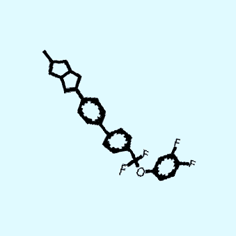 CC1CC2CC(c3ccc(-c4ccc(C(F)(F)Oc5ccc(F)c(F)c5)cc4)cc3)CC2C1